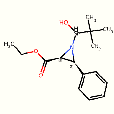 CCOC(=O)[C@@H]1[C@H](c2ccccc2)N1[SiH](O)C(C)(C)C